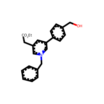 CCOC(=O)Cc1cc(-c2ccc(CO)cc2)c[n+](Cc2ccccc2)c1